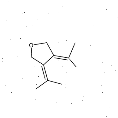 CC(C)=C1COCC1=C(C)C